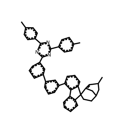 Cc1ccc(-c2nc(-c3ccc(C)cc3)nc(-c3cccc(-c4cccc(-c5cccc6c5-c5ccccc5C65CCC6CC5=CC(C)C6)c4)c3)n2)cc1